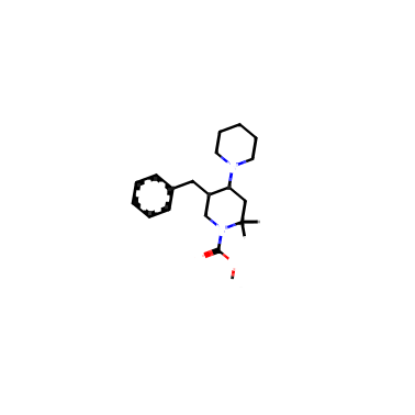 CC(C)(C)OC(=O)N1CC(Cc2ccccc2)C(N2CCCCC2)CC1(C)C